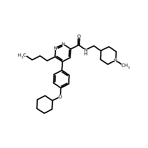 CCCCc1nnc(C(=O)NCC2CCN(C)CC2)cc1-c1ccc(OC2CCCCC2)cc1